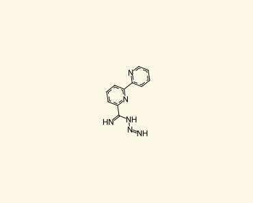 N=NNC(=N)c1cccc(-c2ccccn2)n1